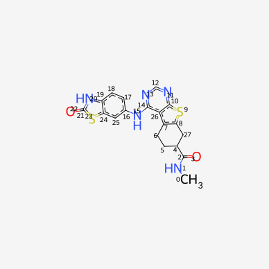 CNC(=O)C1CCc2c(sc3ncnc(Nc4ccc5[nH]c(=O)sc5c4)c23)C1